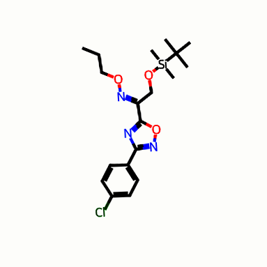 CCCON=C(CO[Si](C)(C)C(C)(C)C)c1nc(-c2ccc(Cl)cc2)no1